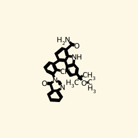 COC(C)(C)c1ccc2c(c1)[nH]c1c(C(N)=O)ccc(-c3cccc(-n4cnc5ccccc5c4=O)c3C)c12